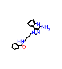 Nc1nc2ccccc2c2c1ncn2CCCCNC(=O)c1ccccc1